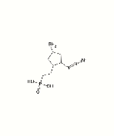 BC1CC(CCP(=O)(O)O)C(N=[N+]=[N-])C1